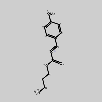 COc1ccc(/C=C/C(=O)OCCCN)cc1